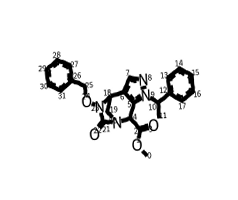 COC(=O)C1c2c(cnn2C(C)c2ccccc2)C2CN1C(=O)N2OCc1ccccc1